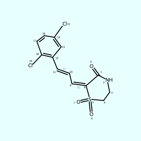 O=C1NCCS(=O)(=O)/C1=C/C=C/c1cc(Cl)ccc1Cl